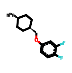 CCC[C@H]1CC[C@H](COc2ccc(F)c(F)c2)CC1